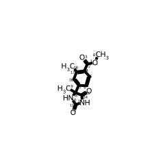 COC(=O)c1ccc(C2(C)NC(=O)NC2=O)cc1C